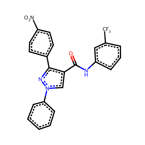 O=C(Nc1cccc(C(F)(F)F)c1)c1cn(-c2ccccc2)nc1-c1ccc([N+](=O)[O-])cc1